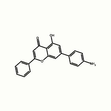 Nc1ccc(-c2cc(O)c3c(=O)cc(-c4ccccc4)oc3c2)cc1